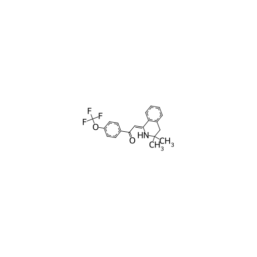 CC1(C)Cc2ccccc2/C(=C/C(=O)c2ccc(OC(F)(F)F)cc2)N1